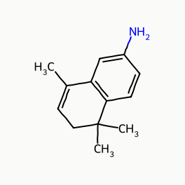 CC1=CCC(C)(C)c2ccc(N)cc21